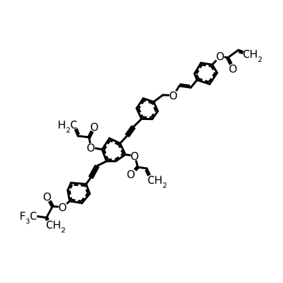 C=CC(=O)Oc1ccc(/C=C/OCc2ccc(C#Cc3cc(OC(=O)C=C)c(C#Cc4ccc(OC(=O)C(=C)C(F)(F)F)cc4)cc3OC(=O)C=C)cc2)cc1